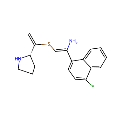 C=C(S/C=C(\N)c1ccc(F)c2ccccc12)[C@@H]1CCCN1